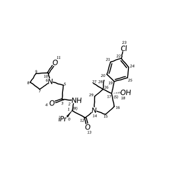 CC(C)[C@@H](NC(=O)CN1CCCC1=O)C(=O)N1CC[C@](O)(c2ccc(Cl)cc2)C(C)(C)C1